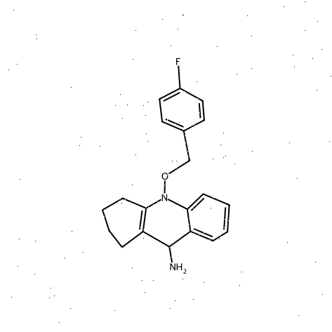 NC1C2=C(CCCC2)N(OCc2ccc(F)cc2)c2ccccc21